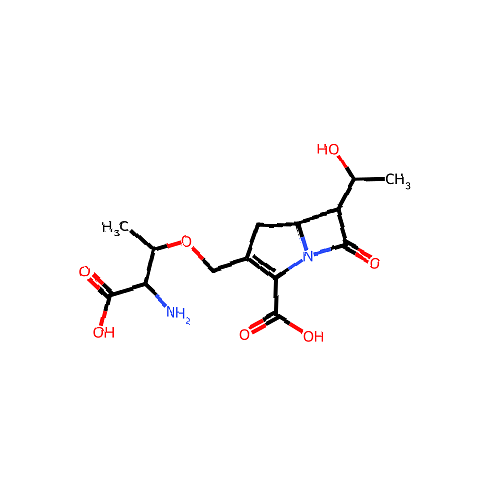 CC(O)C1C(=O)N2C(C(=O)O)=C(COC(C)C(N)C(=O)O)CC12